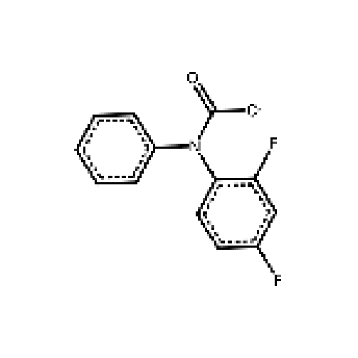 [O]C(=O)N(c1ccccc1)c1ccc(F)cc1F